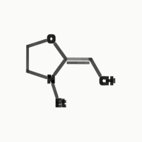 [CH]C=C1OCCN1CC